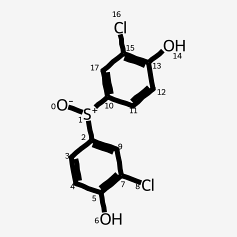 [O-][S+](c1ccc(O)c(Cl)c1)c1ccc(O)c(Cl)c1